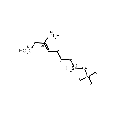 C[Si](C)(C)O[SiH2]CCCC=C(CC(=O)O)C(=O)O